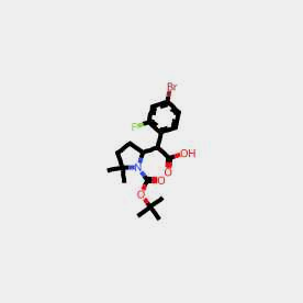 CC(C)(C)OC(=O)N1C(C(C(=O)O)c2ccc(Br)cc2F)CCC1(C)C